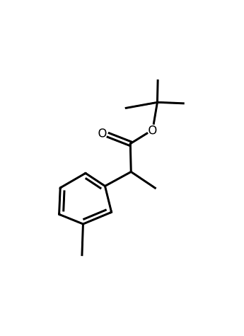 Cc1cccc(C(C)C(=O)OC(C)(C)C)c1